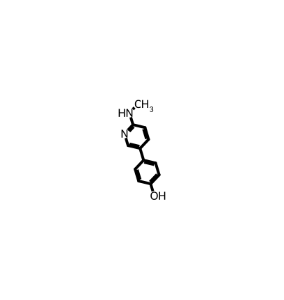 CNc1ccc(-c2ccc(O)cc2)cn1